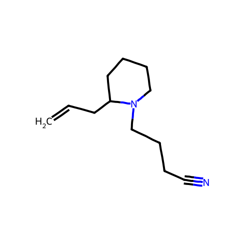 C=CCC1CCCCN1CCCC#N